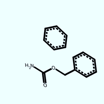 NC(=O)OCc1ccccc1.c1ccccc1